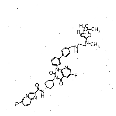 CN(CCNCc1ccc(-c2cccc(-n3c(=O)n([C@H]4CC[C@@H](NC(=O)c5cn6cc(F)ccc6n5)CC4)c(=O)c4cc(F)cnc43)c2)cc1)C(=O)OC(C)(C)C